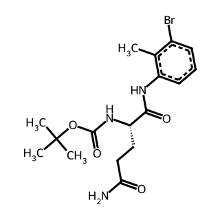 Cc1c(Br)cccc1NC(=O)[C@H](CCC(N)=O)NC(=O)OC(C)(C)C